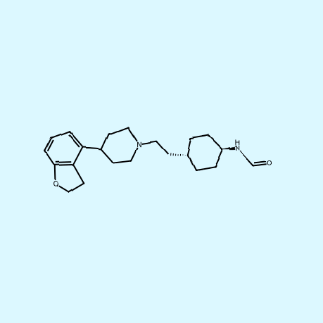 O=CN[C@H]1CC[C@H](CCN2CCC(c3cccc4c3CCO4)CC2)CC1